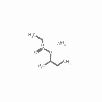 CCC(C)O[PH](=O)CC.[AlH3]